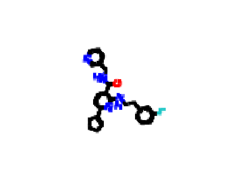 O=C(NCc1cccnc1)c1ccc(C2=CCCC2)nc1NCCc1cccc(F)c1